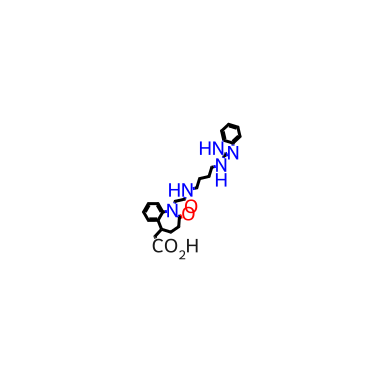 O=C(O)CC1CCC(=O)N(CC(=O)NCCCCNc2nc3ccccc3[nH]2)c2ccccc21